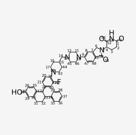 O=C1CCC(N2Cc3cc(N4CCN(CC5CCN(c6ccc([C@@H]7c8ccc(O)cc8CCC7c7ccccc7)cc6F)CC5)CC4)ccc3C2=O)C(=O)N1